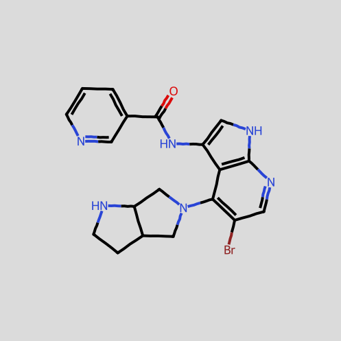 O=C(Nc1c[nH]c2ncc(Br)c(N3CC4CCNC4C3)c12)c1cccnc1